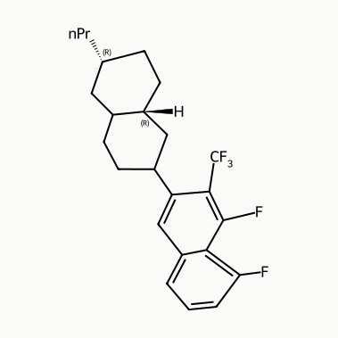 CCC[C@@H]1CC[C@@H]2CC(c3cc4cccc(F)c4c(F)c3C(F)(F)F)CCC2C1